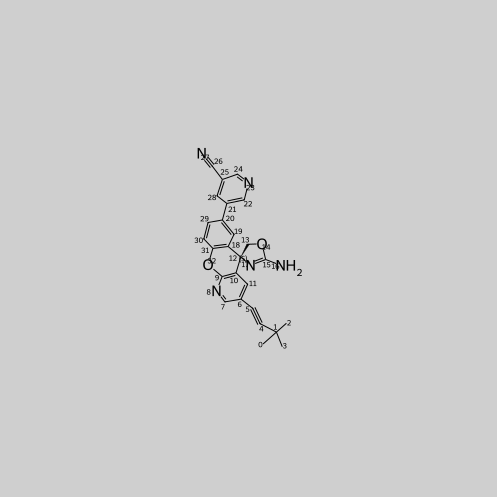 CC(C)(C)C#Cc1cnc2c(c1)[C@]1(COC(N)=N1)c1cc(-c3cncc(C#N)c3)ccc1O2